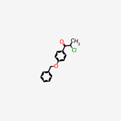 CC(Cl)C(=O)c1ccc(OCc2ccccc2)cc1